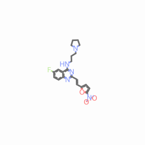 O=[N+]([O-])c1ccc(C=Cc2nc(NCCCN3CCCC3)c3cc(F)ccc3n2)o1